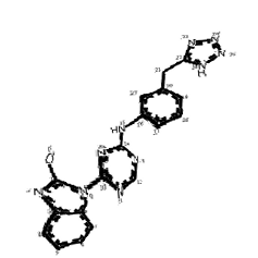 Clc1nc2ccccc2n1-c1ncnc(Nc2cccc(Cc3nnn[nH]3)c2)n1